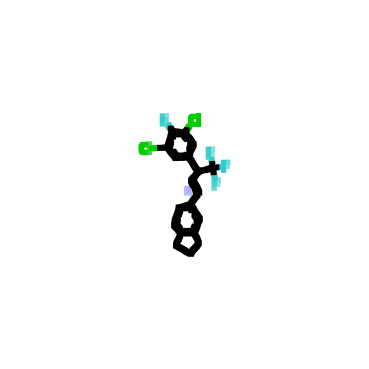 Fc1c(Cl)cc(C(/C=C/c2ccc3c(c2)CCC3)C(F)(F)F)cc1Cl